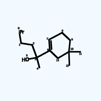 CC(C)CCC(C)(O)C1=CCCC(C)(C)C1